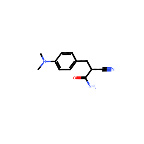 CN(C)c1ccc(CC(C#N)C(N)=O)cc1